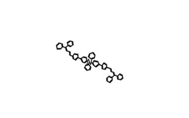 C(=Cc1ccc(-c2ccc([N+](c3ccccc3)(c3ccccc3)c3ccc(-c4ccc(C=CC=C(c5ccccc5)c5ccccc5)cc4)cc3)cc2)cc1)C=C(c1ccccc1)c1ccccc1